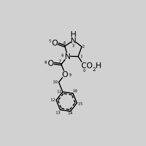 O=C(O)C1CNC(=O)N1C(=O)OCc1ccccc1